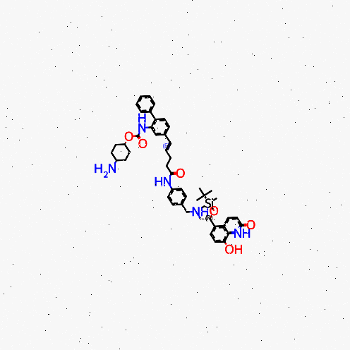 CC(C)(C)[Si](C)(C)O[C@@H](CNCc1ccc(NC(=O)CC/C=C/c2ccc(-c3ccccc3)c(NC(=O)O[C@H]3CC[C@H](N)CC3)c2)cc1)c1ccc(O)c2[nH]c(=O)ccc12